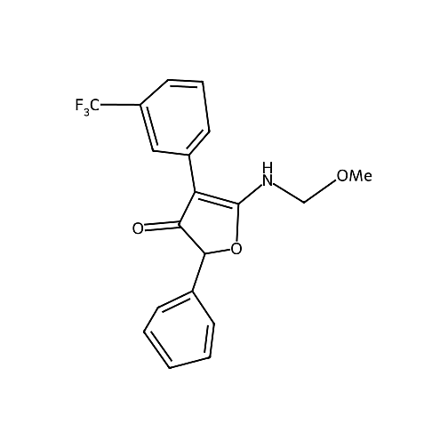 COCNC1=C(c2cccc(C(F)(F)F)c2)C(=O)C(c2ccccc2)O1